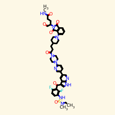 CCN(C)[S+]([O-])Nc1ccc(F)c(C(=O)c2c[nH]c3ncc(-c4ccc(N5CCN(C(=O)CCC6CCN(c7cccc8c7C(=O)N(C(C=O)CCC(=O)NC)C8=O)CC6)CC5)nc4)cc23)c1F